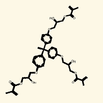 C=C(C)C(=O)OCC(O)COc1ccc(C(C)(c2ccc(OCC(O)COC(=O)C(=C)C)cc2)c2ccc(OCC(O)COC(=O)C(=C)C)cc2)cc1